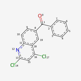 O=C(c1ccccc1)c1ccc2nc(Cl)cc(Cl)c2c1